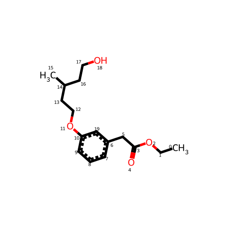 CCOC(=O)Cc1cccc(OCCC(C)CCO)c1